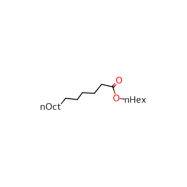 CCCCCCCCCCCCCC(=O)OCCCCCC